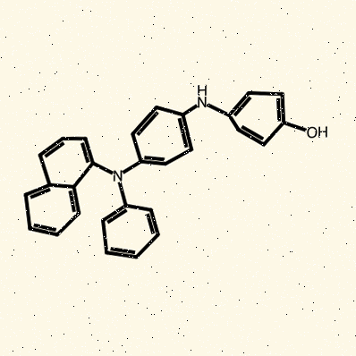 Oc1ccc(Nc2ccc(N(c3ccccc3)c3cccc4ccccc34)cc2)cc1